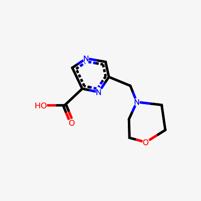 O=C(O)c1cncc(CN2CCOCC2)n1